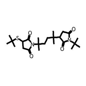 CC(C)(C)SC1CC(=O)N(C(C)(C)CCC(C)(C)C2CC(=O)N(C(C)(C)C)C2=O)C1=O